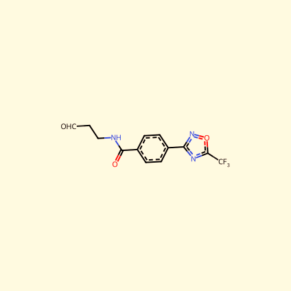 O=CCCNC(=O)c1ccc(-c2noc(C(F)(F)F)n2)cc1